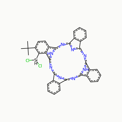 CC(C)(C)c1ccc2c3nc4nc(nc5[nH]c(nc6nc(nc([nH]3)c2c1[SiH](Cl)Cl)-c1ccccc1-6)c1ccccc51)-c1ccccc1-4